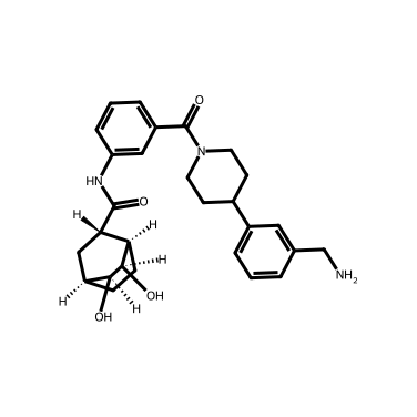 NCc1cccc(C2CCN(C(=O)c3cccc(NC(=O)[C@H]4C[C@@H]5CC[C@H]4[C@@H](O)[C@H]5O)c3)CC2)c1